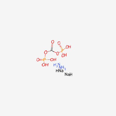 N.N.O=C(OP(=O)(O)O)OP(=O)(O)O.[NaH].[NaH]